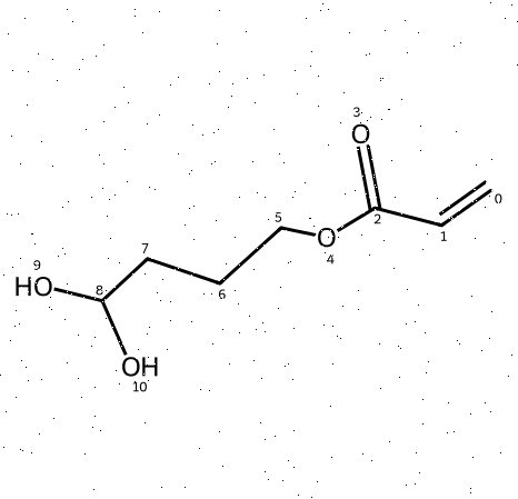 C=CC(=O)OCCCC(O)O